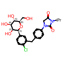 CC(C)N1C(=O)CN(c2ccc(Cc3cc([C@@H]4O[C@H](CO)[C@@H](O)[C@H](O)[C@@H]4O)ccc3Cl)cc2)C1=O